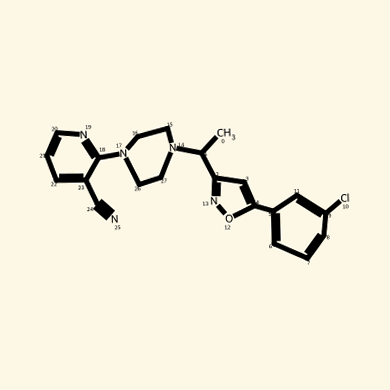 CC(c1cc(-c2cccc(Cl)c2)on1)N1CCN(c2ncccc2C#N)CC1